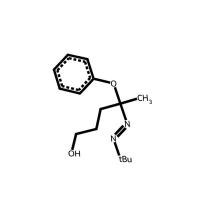 CC(C)(C)N=NC(C)(CCCO)Oc1ccccc1